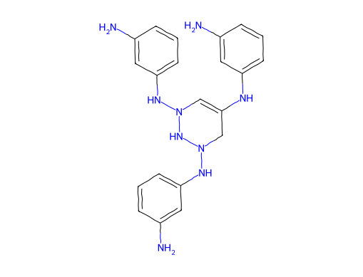 Nc1cccc(NC2=CN(Nc3cccc(N)c3)NN(Nc3cccc(N)c3)C2)c1